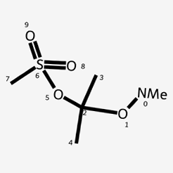 CNOC(C)(C)OS(C)(=O)=O